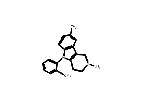 COc1ccccc1-n1c2c(c3cc(C)ccc31)CN(C)CC2